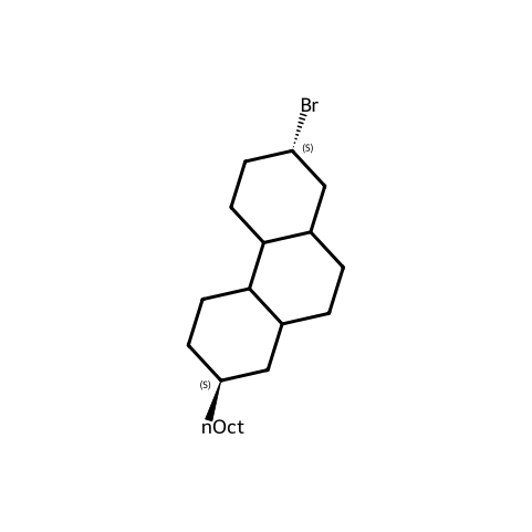 CCCCCCCC[C@H]1CCC2C(CCC3C[C@@H](Br)CCC32)C1